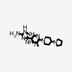 Cc1cc(C2(N)N=C(N)NN2)cnc1N1CCC(N2CCCC2)CC1